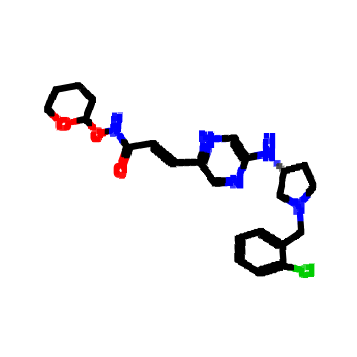 O=C(C=Cc1cnc(N[C@@H]2CCN(Cc3ccccc3Cl)C2)cn1)NOC1CCCCO1